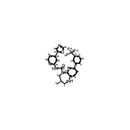 C[C@@H]1CNc2ccc(-c3cccc(C(F)(F)F)c3)nc2N(C(=O)Nc2cc(-c3cnco3)ccn2)C1